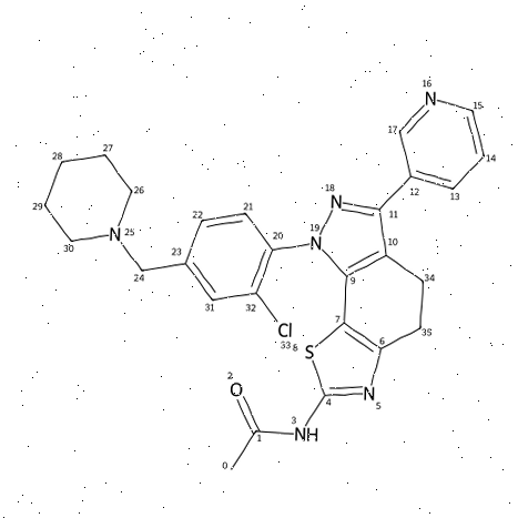 CC(=O)Nc1nc2c(s1)-c1c(c(-c3cccnc3)nn1-c1ccc(CN3CCCCC3)cc1Cl)CC2